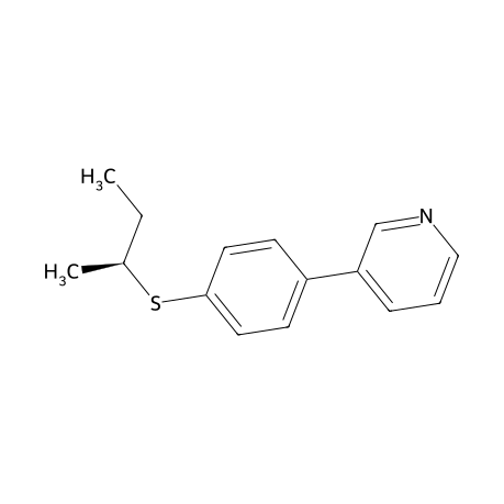 CC[C@H](C)Sc1ccc(-c2cccnc2)cc1